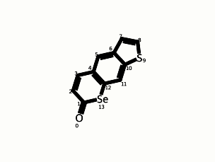 O=c1ccc2cc3ccsc3cc2[se]1